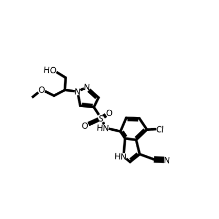 COCC(CO)n1cc(S(=O)(=O)Nc2ccc(Cl)c3c(C#N)c[nH]c23)cn1